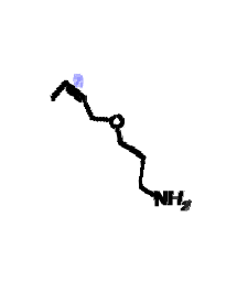 C/C=C\COCCCN